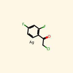 O=C(CCl)c1ccc(F)cc1F.[Ag]